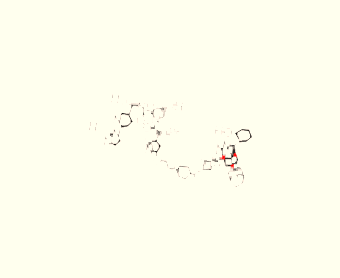 Cc1nccn1-c1ccc([C@H](C)NC(=O)[C@@H]2C[C@@H](O)CN2C(=O)[C@@H](c2cc(OCCN3CCC(O[C@H]4C[C@H](Oc5cc(N6C7CCC6CN(c6cc(-c8ccccc8O)nnc6N)C7)ccn5)C4)CC3)no2)C(C)C)cn1